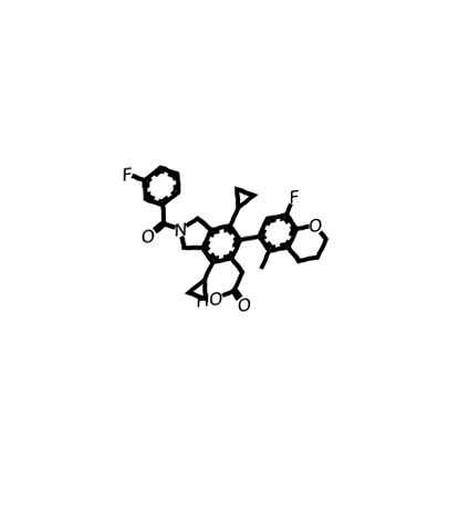 Cc1c(-c2c(CC(=O)O)c(C3CC3)c3c(c2C2CC2)CN(C(=O)c2cccc(F)c2)C3)cc(F)c2c1CCCO2